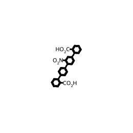 O=C(O)c1ccccc1-c1ccc(-c2ccc(-c3ccccc3C(=O)O)cc2[N+](=O)[O-])cc1